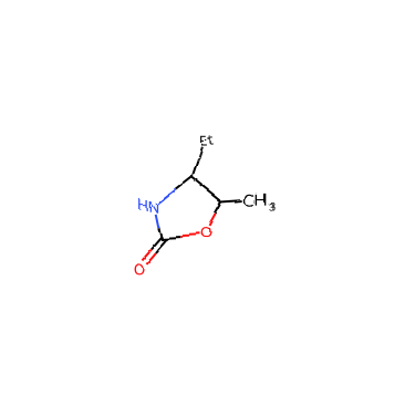 CCC1NC(=O)OC1C